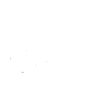 CC(C)(C)OC(=O)CCC1CCCC1